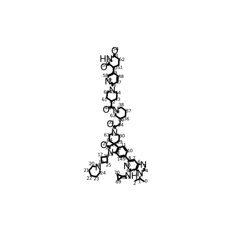 CC(C)n1cnc2cc(-c3ccc4c(c3)N([C@H]3C[C@@H](N5CCCCC5)C3)C(=O)C43CCN(C(=O)C[C@@H]4CCCN(C(=O)C5CCN(c6ccc(C7CCC(=O)NC7=O)cn6)CC5)C4)CC3)nc(NC3CC3)c21